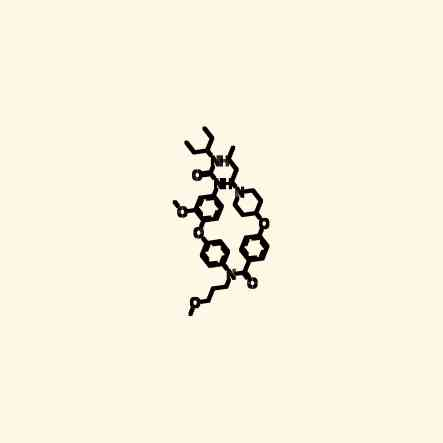 CCCCN1CCC(Oc2ccc(C(=O)N(CCCOC)c3ccc(Oc4ccc(NC(=O)NC(CC)CC)cc4OC)cc3)cc2)CC1